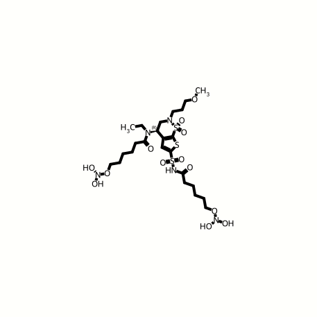 CCN(C(=O)CCCCCON(O)O)[C@H]1CN(CCCOC)S(=O)(=O)c2sc(S(=O)(=O)NC(=O)CCCCCON(O)O)cc21